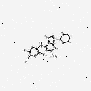 Nc1nc(Nc2cc(F)c(F)cc2F)c2ncn(C3CCCCO3)c2n1